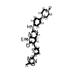 CCn1c(=O)c(-c2ccc(-c3noc(C)n3)s2)cc2cnc(Nc3ccc(N4CCN(C)CC4)cc3)nc21